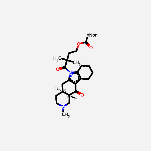 CCCCCCCCCC(=O)OCCC(C)(C)C(=O)n1c2c(c3c1C[C@@H]1CCN(C)C[C@H]1C3=O)CCCC2